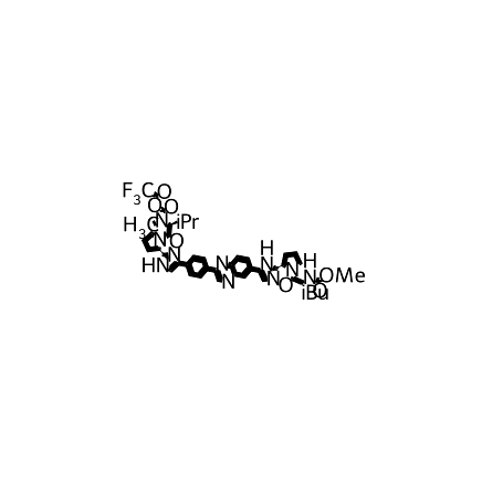 CC[C@H](C)[C@H](NC(=O)OC)C(=O)N1CCC[C@H]1c1ncc(-c2ccc3nc(-c4ccc(-c5c[nH]c([C@@H]6CCCN6C(=O)[C@H](C(C)C)N(C)C(=O)OC(=O)C(F)(F)F)n5)cc4)cnc3c2)[nH]1